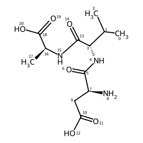 CC(C)[C@H](NC(=O)[C@@H](N)CC(=O)O)C(=O)N[C@@H](C)C(=O)O